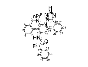 CCCN(Cc1ccccc1)c1cc(NC(=O)C(F)c2ccccc2)cc(-c2ccccc2-c2nn[nH]n2)n1